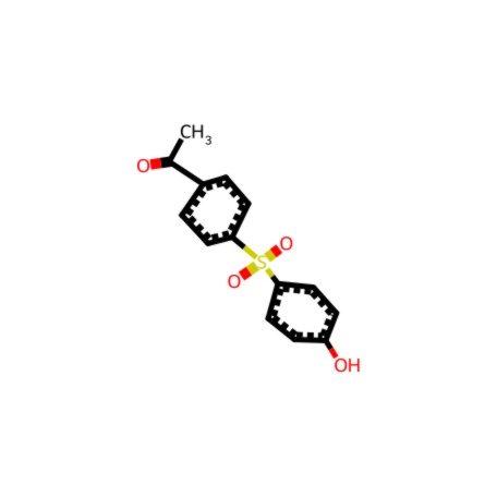 CC(=O)c1ccc(S(=O)(=O)c2ccc(O)cc2)cc1